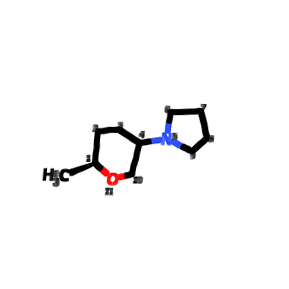 C[C@H]1CCC(N2CCCC2)CO1